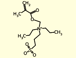 C=C(C)C(=O)OC[N+](CCC)(CCC)CCCS(=O)(=O)[O-]